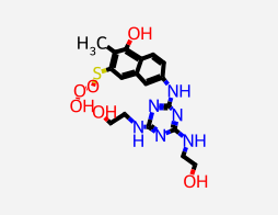 Cc1c(SOOO)cc2cc(Nc3nc(NCCO)nc(NCCO)n3)ccc2c1O